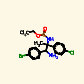 CC(NS(=O)OCC(Cl)(Cl)Cl)(c1ccc(Cl)cc1)C(N)c1ccc(Br)cc1